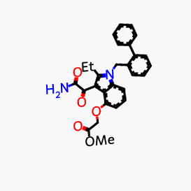 CCc1c(C(=O)C(N)=O)c2c(OCC(=O)OC)cccc2n1Cc1ccccc1-c1ccccc1